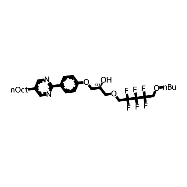 CCCCCCCCc1cnc(-c2ccc(OC[C@@H](O)COCC(F)(F)C(F)(F)C(F)(F)COCCCC)cc2)nc1